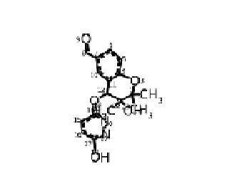 CC1(C)Oc2ccc(C=O)cc2C(Oc2ccc(O)nn2)C1(C)O